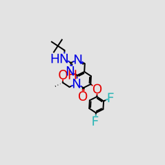 C[C@H](O)Cn1c(=O)c(Oc2ccc(F)cc2F)cc2cnc(NCC(C)(C)C)nc21